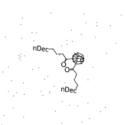 CCCCCCCCCCCCCC(=O)[C]12[CH]3[CH]4[CH]5[C]1(C(=O)CCCCCCCCCCCCC)[Fe]43521678[CH]2[CH]1[CH]6[CH]7[CH]28